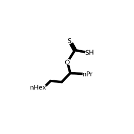 CCCCCCCCC(CCC)OC(=S)S